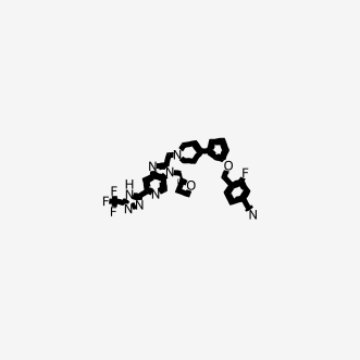 N#Cc1ccc(COc2cccc(C3=CCN(Cc4nc5cc(-c6nnc(C(F)(F)F)[nH]6)ncc5n4C[C@@H]4CCO4)CC3)c2)c(F)c1